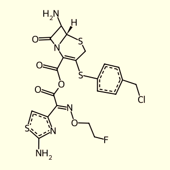 Nc1nc(C(=NOCCF)C(=O)OC(=O)C2=C(Sc3ccc(CCl)cc3)CS[C@H]3C(N)C(=O)N23)cs1